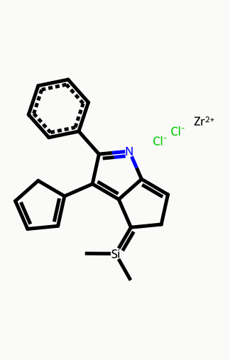 C[Si](C)=C1CC=C2N=C(c3ccccc3)C(C3=CC=CC3)=C21.[Cl-].[Cl-].[Zr+2]